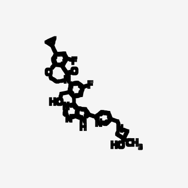 CC1(O)CN(Cc2ccc(-c3cc4c(-c5cc(F)cc(N6CCOc7cc(C8CC8)cc(F)c7C6=O)c5CO)ncnc4[nH]3)nc2)C1